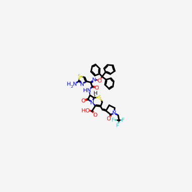 Nc1nc(/C(=N/OC(c2ccccc2)(c2ccccc2)c2ccccc2)C(=O)N[C@@H]2C(=O)N3C(C(=O)O)=C(/C=C4\CCN(CC(F)(F)F)C4=O)CS[C@H]23)cs1